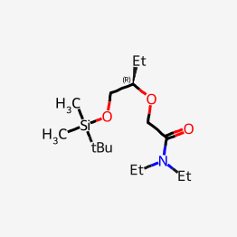 CC[C@H](CO[Si](C)(C)C(C)(C)C)OCC(=O)N(CC)CC